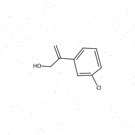 C=C(CO)c1cccc(Cl)c1